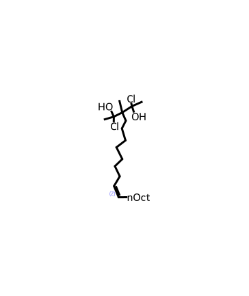 CCCCCCCC/C=C\CCCCCCCC(C)(C(C)(O)Cl)C(C)(O)Cl